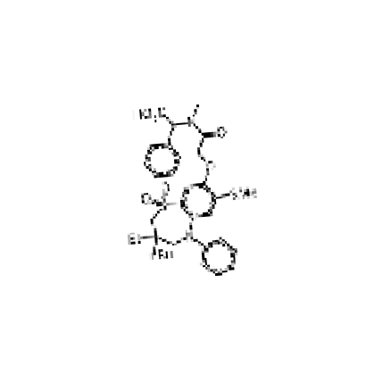 CCCCC1(CC)CN(c2ccccc2)c2cc(SC)c(OCC(=O)N(C)C(C(=O)O)c3ccccc3)cc2S(=O)(=O)C1